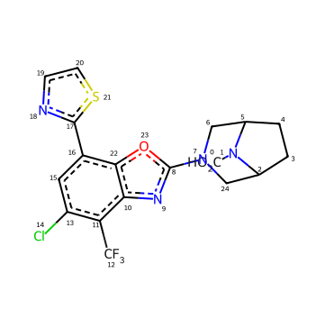 O=C(O)N1C2CCC1CN(c1nc3c(C(F)(F)F)c(Cl)cc(-c4nccs4)c3o1)C2